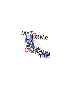 COCC[C@H](NC(=O)OC)C(=O)N1CCCC1c1cc(=O)c2ccc(-c3ccc4cc(-c5cnc[nH]5)ccc4c3)cc2[nH]1